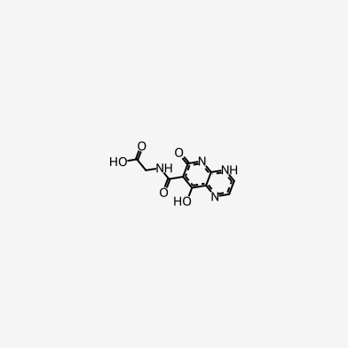 O=C(O)CNC(=O)c1c(O)c2ncc[nH]c-2nc1=O